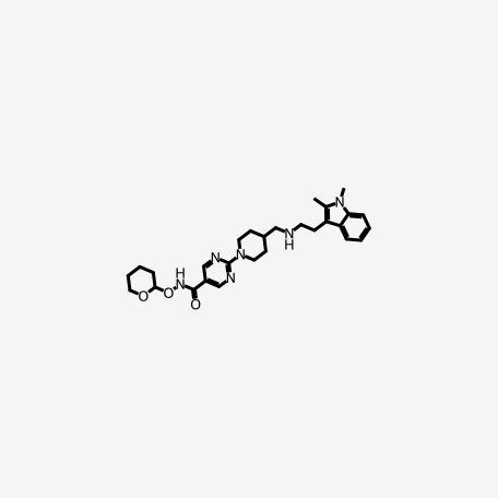 Cc1c(CCNCC2CCN(c3ncc(C(=O)NOC4CCCCO4)cn3)CC2)c2ccccc2n1C